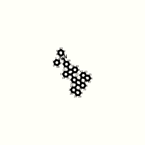 c1ccc(-n2c(-c3ccc(-c4c5ccccc5c(-c5ccc6c(-c7cccc8ccccc78)c7ccccc7c(-c7cccc8ccccc78)c6c5)c5ccccc45)cc3)nc3ccccc32)cc1